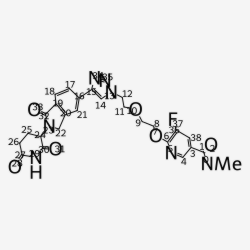 CNC(=O)c1cnc(OCCOCCn2cc(-c3ccc4c(c3)CN(C3CCC(=O)NC3=O)C4=O)nn2)c(F)c1